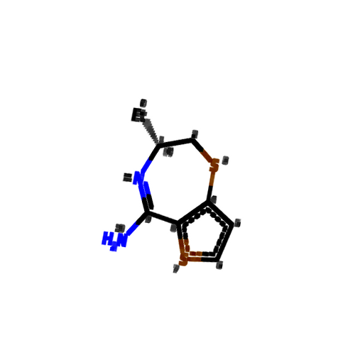 CC[C@@H]1CSc2ccsc2C(N)=N1